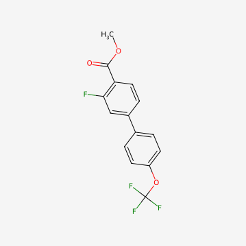 COC(=O)c1ccc(-c2ccc(OC(F)(F)F)cc2)cc1F